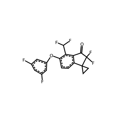 O=C1c2c(ccc(Oc3cc(F)cc(F)c3)c2C(F)F)C2(CC2)C1(F)F